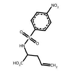 C=CCC(NS(=O)(=O)c1ccc([N+](=O)[O-])cc1)C(=O)O